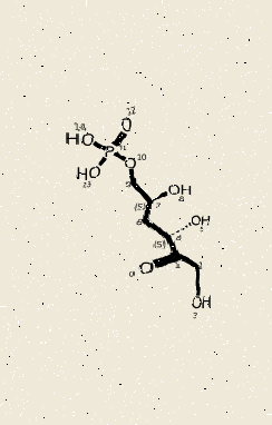 O=C(CO)[C@@H](O)C[C@H](O)COP(=O)(O)O